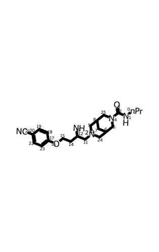 CCCNC(=O)N1CC2CC(CN(CC(N)CCOc3ccc(C#N)cc3)C2)C1